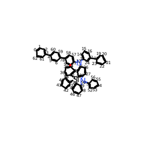 c1ccc(-c2ccc(-c3ccc(N(c4cccc(-c5ccccc5)c4)c4ccc5c(c4)[Si](c4ccccc4)(c4ccccc4)c4ccccc4N5c4ccccc4)cc3)cc2)cc1